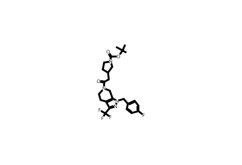 CC(C)(C)OC(=O)N1CCC(CC(=O)N2CCc3c(C(F)(F)F)nn(Cc4ccc(F)cc4)c3C2)C1